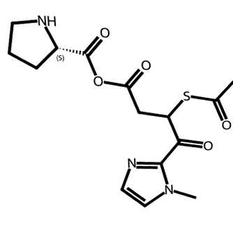 CC(=O)SC(CC(=O)OC(=O)[C@@H]1CCCN1)C(=O)c1nccn1C